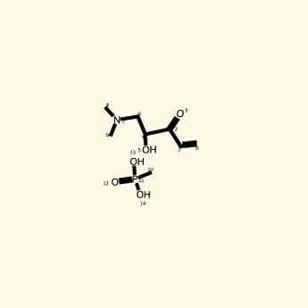 C=CC(=O)C(O)CN(C)C.CP(=O)(O)O